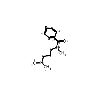 CN(C)CCCN(C)C(=O)c1ccccc1